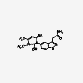 CN1C(C(F)(F)F)=CC(O)N(c2ccc3snc(CC(N)=O)c3c2)C1O